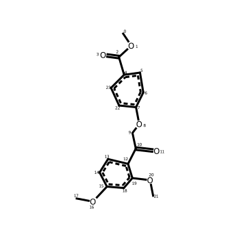 COC(=O)c1ccc(OCC(=O)c2ccc(OC)cc2OC)cc1